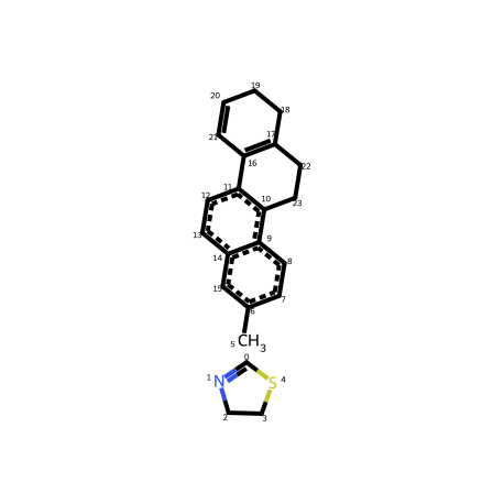 C1=NCCS1.Cc1ccc2c3c(ccc2c1)C1=C(CCC=C1)CC3